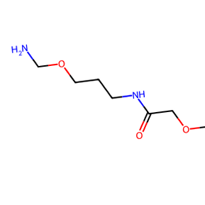 COCC(=O)NCCCOCN